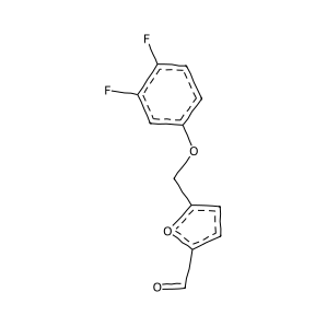 O=Cc1ccc(COc2ccc(F)c(F)c2)o1